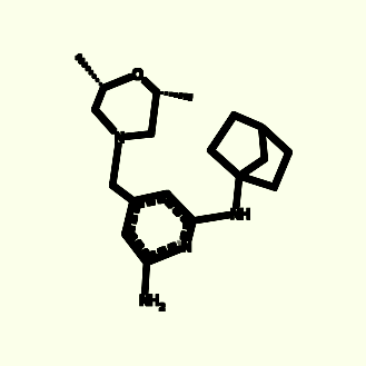 C[C@@H]1CN(Cc2cc(N)nc(NC34CCC(CC3)C4)c2)C[C@H](C)O1